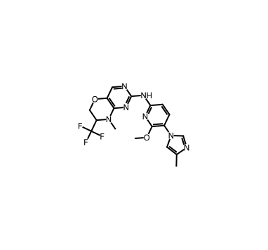 COc1nc(Nc2ncc3c(n2)N(C)C(C(F)(F)F)CO3)ccc1-n1cnc(C)c1